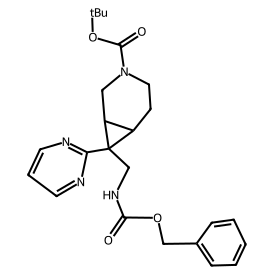 CC(C)(C)OC(=O)N1CCC2C(C1)C2(CNC(=O)OCc1ccccc1)c1ncccn1